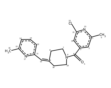 Cc1cc(C(=O)N2CCC(=Cc3cccc(C)n3)CC2)cc(Cl)n1